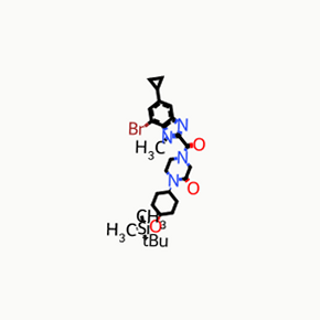 Cn1c(C(=O)N2CCN([C@H]3CC[C@H](O[Si](C)(C)C(C)(C)C)CC3)C(=O)C2)nc2cc(C3CC3)cc(Br)c21